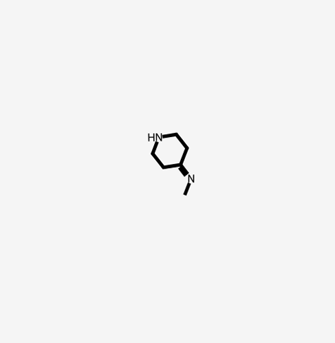 CN=C1CCNCC1